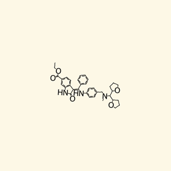 CCOC(=O)c1ccc2c(c1)NC(=O)/C2=C(\Nc1ccc(CN(C)C(C2CCCO2)C2CCCO2)cc1)c1ccccc1